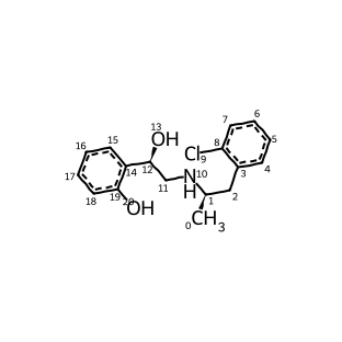 C[C@H](Cc1ccccc1Cl)NC[C@H](O)c1ccccc1O